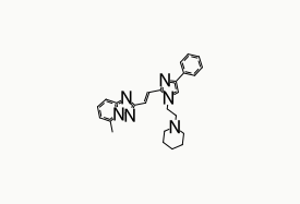 Cc1cccc2nc(/C=C/c3nc(-c4ccccc4)cn3CCN3CCCCC3)nn12